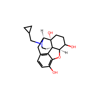 Oc1ccc2c3c1O[C@@H]1C(O)CC[C@]4(O)[C@H](C2)N(CC2CC2)CC[C@@]314